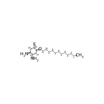 CCCCCCCCCCCCOc1cc(N)c(N)cc1F